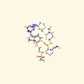 CN1CCCC[C@H]1C(=O)OC1CCN(C(=O)[C@H]2CC[C@H](Nc3nccc(-n4ccc5c(OCCCS(C)(=O)=O)cccc54)n3)CC2)CC1